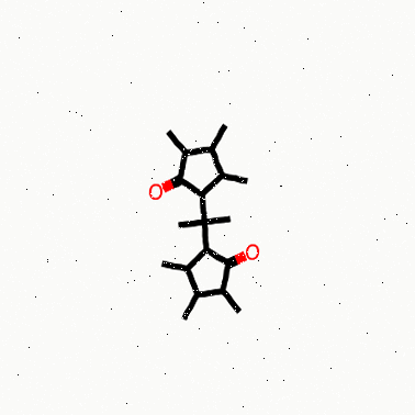 CC1C(=O)C(C(C)(C)C2C(=O)C(C)C(C)C2C)C(C)C1C